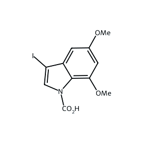 COc1cc(OC)c2c(c1)c(I)cn2C(=O)O